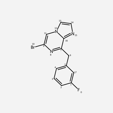 Fc1cccc(Cc2nc(Br)cn3ccnc23)c1